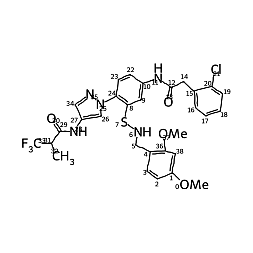 COc1ccc(CNSc2cc(NC(=O)Cc3ccccc3Cl)ccc2-n2cc(NC(=O)C(C)C(F)(F)F)cn2)c(OC)c1